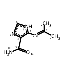 CC(C)=Nc1[nH]cnc1C(N)=O